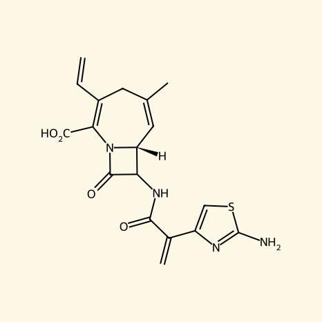 C=CC1=C(C(=O)O)N2C(=O)C(NC(=O)C(=C)c3csc(N)n3)[C@H]2C=C(C)C1